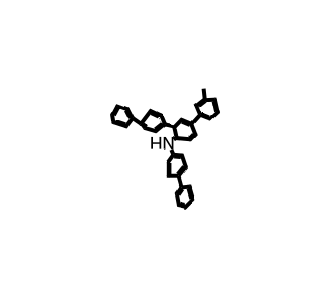 Cc1cccc(C2=CC(c3ccc(-c4ccccc4)cc3)C(Nc3ccc(-c4ccccc4)cc3)C=C2)c1